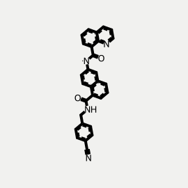 N#Cc1ccc(CNC(=O)c2cccc3cc([N]C(=O)c4cccc5cccnc45)ccc23)cc1